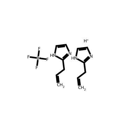 C=CCc1ncc[nH]1.C=CCc1ncc[nH]1.F[B-](F)(F)F.[H+]